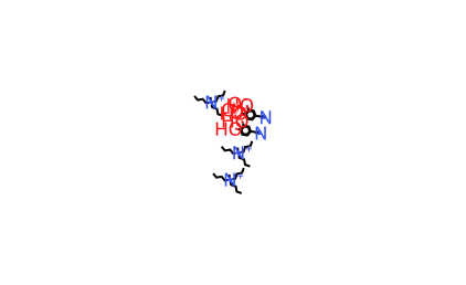 CCCC[N+](C)(CCCC)CCCC.CCCC[N+](C)(CCCC)CCCC.CCCC[N+](C)(CCCC)CCCC.N#Cc1ccc(O)c(O)c1.N#Cc1ccc(O)c(O)c1.[O-]B([O-])[O-]